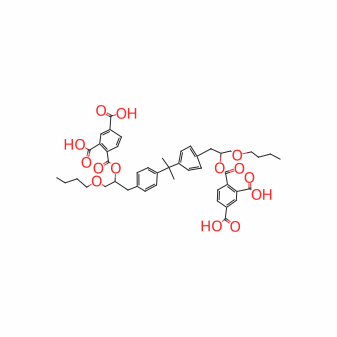 CCCCOCC(Cc1ccc(C(C)(C)c2ccc(CC(COCCCC)OC(=O)c3ccc(C(=O)O)cc3C(=O)O)cc2)cc1)OC(=O)c1ccc(C(=O)O)cc1C(=O)O